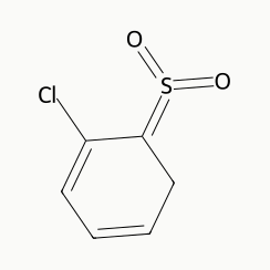 O=S(=O)=C1CC=CC=C1Cl